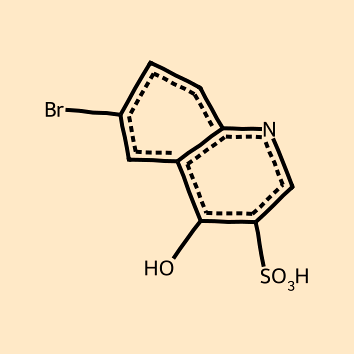 O=S(=O)(O)c1cnc2ccc(Br)cc2c1O